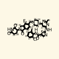 Cc1nc(Nc2ncc(C(=O)Nc3c(C)cccc3Cl)s2)cc(N2CCN(Cc3ccc4c(c3F)CN(C3CCC(=O)NC3=O)C4=O)CC2)n1